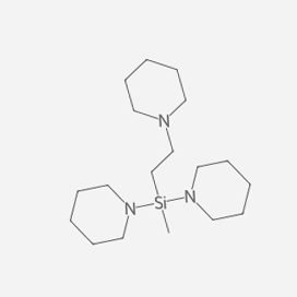 C[Si](CCN1CCCCC1)(N1CCCCC1)N1CCCCC1